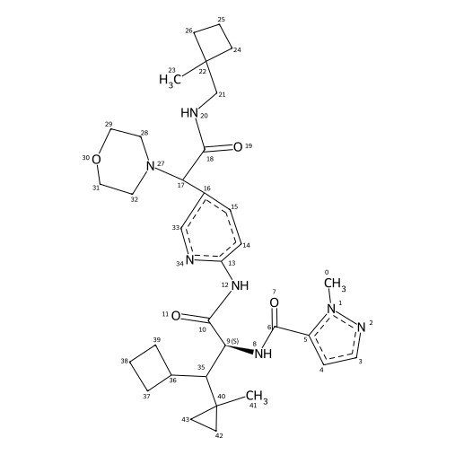 Cn1nccc1C(=O)N[C@H](C(=O)Nc1ccc(C(C(=O)NCC2(C)CCC2)N2CCOCC2)cn1)C(C1CCC1)C1(C)CC1